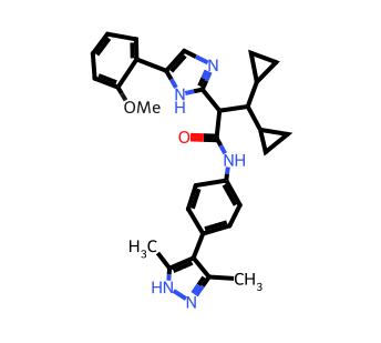 COc1ccccc1-c1cnc(C(C(=O)Nc2ccc(-c3c(C)n[nH]c3C)cc2)C(C2CC2)C2CC2)[nH]1